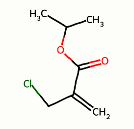 C=C(CCl)C(=O)OC(C)C